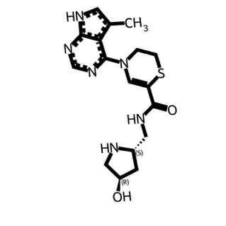 Cc1c[nH]c2ncnc(N3C=C(C(=O)NC[C@@H]4C[C@@H](O)CN4)SCC3)c12